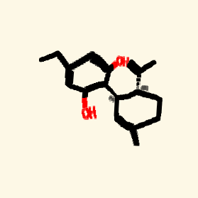 C=C(C)[C@@H]1CCC(C)=C[C@H]1c1c(O)cc(CC)cc1O